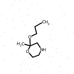 CCCOC1(C)CNCCO1